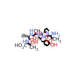 CC[C@H](C)[C@H](NC(=O)[C@H](C)NC(=O)[C@H](Cc1ccc(O)cc1)NC(=O)[C@@H]1CCCN1C(=O)[C@@H](N)[C@@H](C)O)C(=O)N[C@H](C(=O)O)[C@@H](C)O